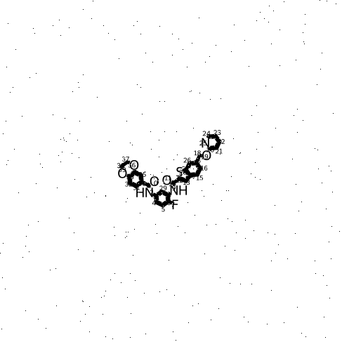 O=C(Nc1ccc(F)c(NC(=O)c2cc3ccc(COc4ccccn4)cc3s2)c1)c1ccc2c(c1)OCCO2